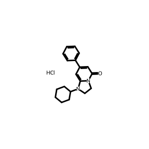 Cl.O=c1cc(-c2ccccc2)cc2n1CCN2C1CCCCC1